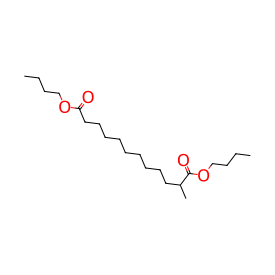 CCCCOC(=O)CCCCCCCCCC(C)C(=O)OCCCC